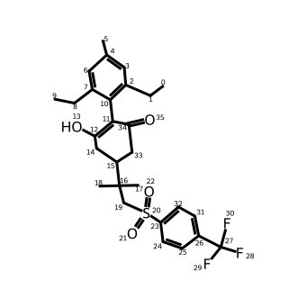 CCc1cc(C)cc(CC)c1C1=C(O)CC(C(C)(C)CS(=O)(=O)c2ccc(C(F)(F)F)cc2)CC1=O